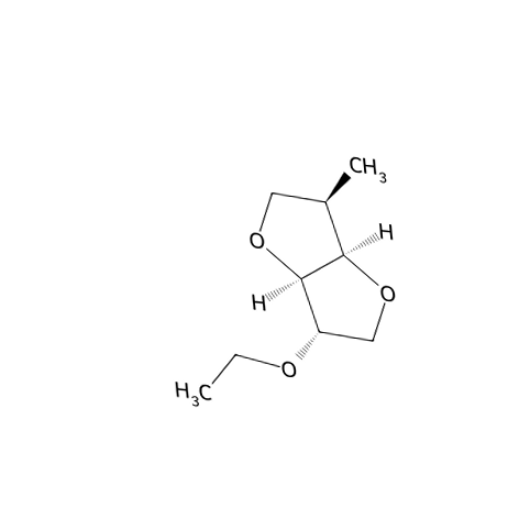 CCO[C@H]1CO[C@H]2[C@@H]1OC[C@H]2C